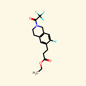 CCOC(=O)CCc1cc2c(cc1F)CN(C(=O)C(F)(F)F)CC2